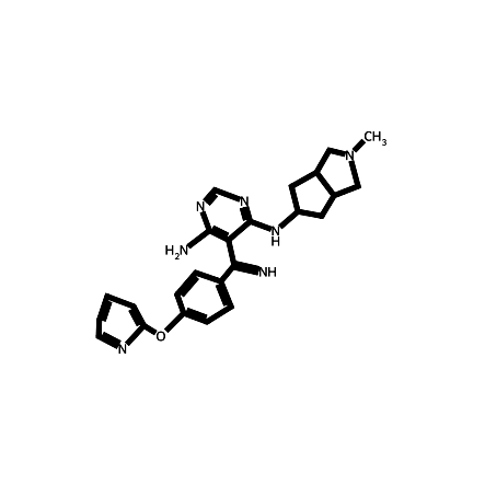 CN1CC2CC(Nc3ncnc(N)c3C(=N)c3ccc(Oc4ccccn4)cc3)CC2C1